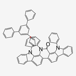 O=c1c2c(ccc3c4ccccc4n(-c4ccccc4)c32)c2ccc3c4ccccc4n(-c4ccccc4)c3c2n1-c1ccc(-c2cc(-c3ccccc3)cc(-c3ccccc3)c2)cc1